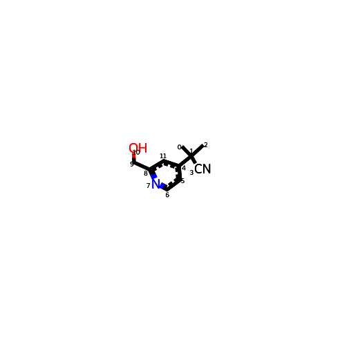 CC(C)(C#N)c1ccnc(CO)c1